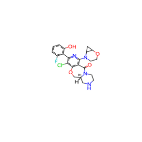 O=C1c2c(N3CCOC4CC43)nc(-c3c(O)cccc3F)c(Cl)c2OC[C@H]2CNCCN12